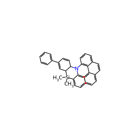 C[Si]1(C)c2ccccc2N(c2cccc3ccc4ccccc4c23)C2C=CC(c3ccccc3)=CC21